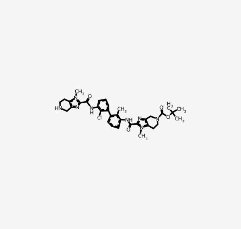 Cc1c(NC(=O)c2nc3c(n2C)CCN(C(=O)OC(C)(C)C)C3)cccc1-c1cccc(NC(=O)c2nc3c(n2C)CCNC3)c1Cl